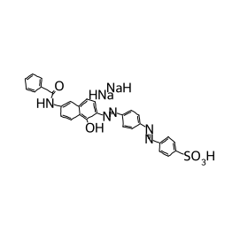 O=C(Nc1ccc2c(O)c(N=Nc3ccc(N=Nc4ccc(S(=O)(=O)O)cc4)cc3)ccc2c1)c1ccccc1.[NaH].[NaH]